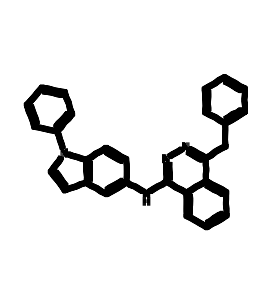 c1ccc(Cc2nnc(Nc3ccc4c(ccn4-c4ccccc4)c3)c3ccccc23)cc1